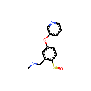 CNCc1cc(Oc2cccnc2)ccc1[S+]=O